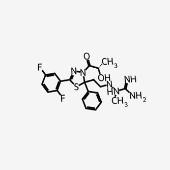 C[C@H](O)C(=O)N1N=C(c2cc(F)ccc2F)SC1(CCNN(C)C(=N)N)c1ccccc1